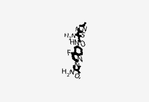 COCC1CN(c2cc(F)c3c(n2)CCC(NC(=O)c2sc4nc(C)cnc4c2N)C3)CC1N